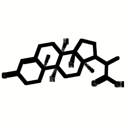 CC(C(=O)O)C1CC[C@H]2[C@@H]3CCC4=CC(=O)CC[C@]4(C)[C@@H]3CC[C@]12C